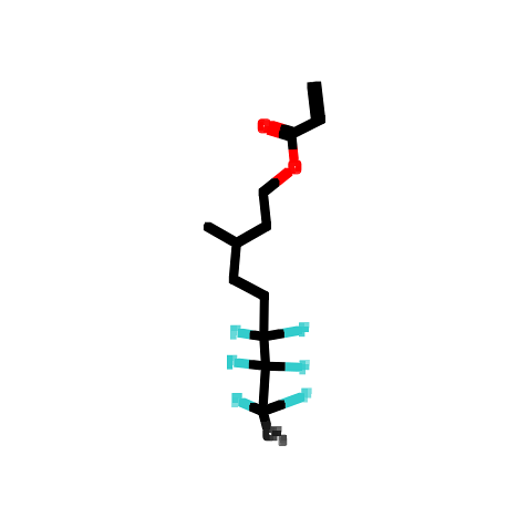 C=CC(=O)OCCC(C)CCC(F)(F)C(F)(F)C(F)(F)C(F)(F)F